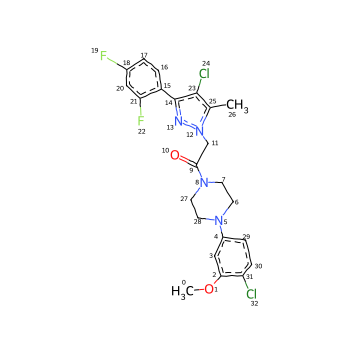 COc1cc(N2CCN(C(=O)Cn3nc(-c4ccc(F)cc4F)c(Cl)c3C)CC2)ccc1Cl